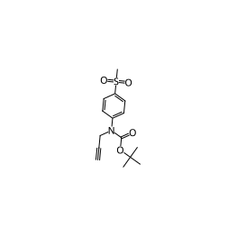 C#CCN(C(=O)OC(C)(C)C)c1ccc(S(C)(=O)=O)cc1